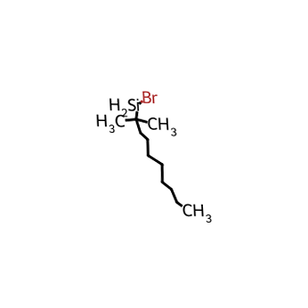 CCCCCCCCC(C)(C)[SiH2]Br